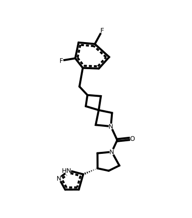 O=C(N1CC[C@H](c2ccn[nH]2)C1)N1CC2(CC(Cc3ccc(F)cc3F)C2)C1